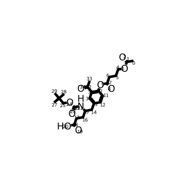 CC(=O)OCCCC(=O)Oc1ccc(CC(CCC(=O)O)NC(=O)OCC(C)(C)C)cc1C(C)=O